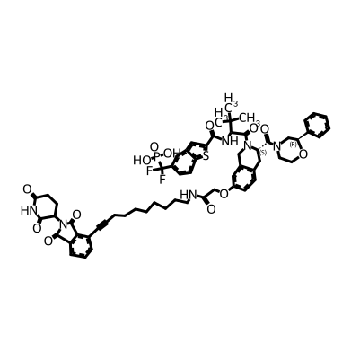 CC(C)(C)C(NC(=O)c1cc2cc(C(F)(F)P(=O)(O)O)ccc2s1)C(=O)N1Cc2cc(OCC(=O)NCCCCCCCCC#Cc3cccc4c3C(=O)N(C3CCC(=O)NC3=O)C4=O)ccc2C[C@H]1C(=O)N1CCO[C@H](c2ccccc2)C1